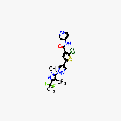 Cn1nc(C(F)(F)C(F)(F)F)c(C(F)(F)F)c1-n1cc(-c2cc(C(=O)Nc3ccncc3)c(Cl)s2)cn1